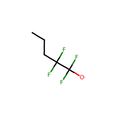 CCCC(F)(F)C([O])(F)F